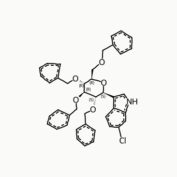 Clc1ccc2c([C@@H]3O[C@H](COCc4ccccc4)[C@@H](OCc4ccccc4)[C@H](OCc4ccccc4)[C@H]3OCc3ccccc3)c[nH]c2c1